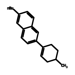 CCCCc1ccc2cc(C3=CCC(C)CC3)ccc2c1